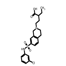 CCC(CCN1CCc2ccc(S(=O)(=O)Nc3cccc(Cl)c3)cc2C1)C(=O)O